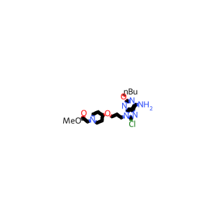 CCCCOc1nc(N)c2nc(Cl)n(CCCOC3CCN(CC(=O)OC)CC3)c2n1